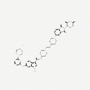 CO[C@@H]1CCN(c2nccc(Nc3cc4c(cn3)c(C(=O)NC3CCN(CCC5CCN(c6ccc7c(c6)C(=O)N(C6CCC(=O)NC6=O)C7=O)CC5)CC3)cn4C(C)C)n2)C[C@@H]1F